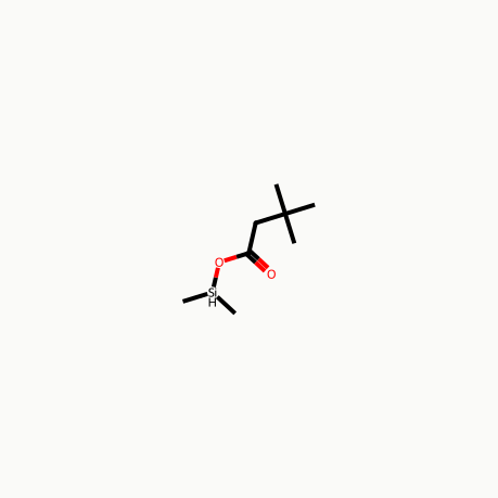 C[SiH](C)OC(=O)CC(C)(C)C